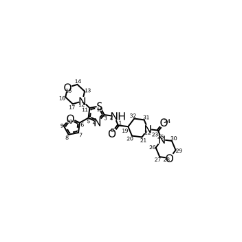 O=C(Nc1nc(-c2ccco2)c(N2CCOCC2)s1)C1CCN(C(=O)N2CCOCC2)CC1